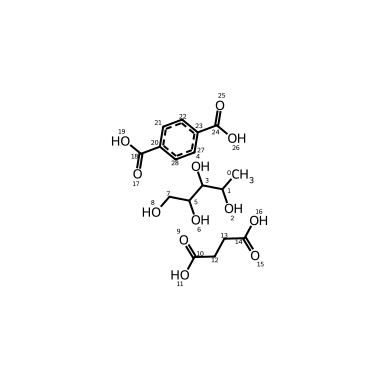 CC(O)C(O)C(O)CO.O=C(O)CCC(=O)O.O=C(O)c1ccc(C(=O)O)cc1